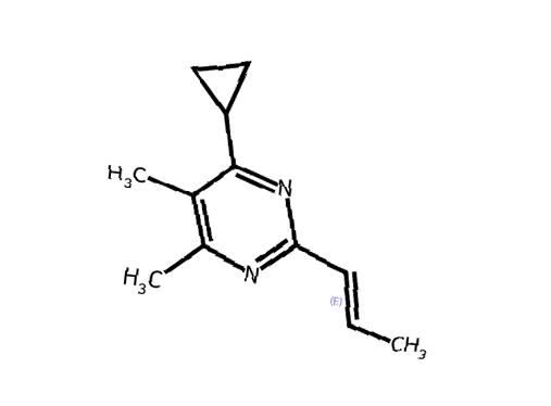 C/C=C/c1nc(C)c(C)c(C2CC2)n1